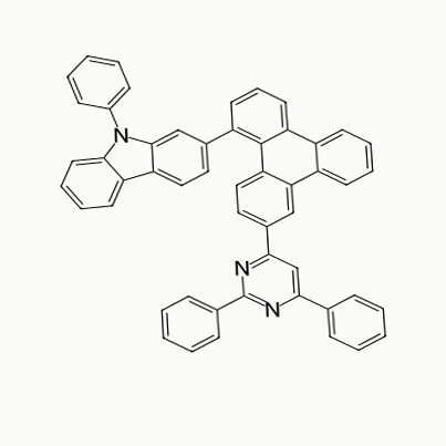 c1ccc(-c2cc(-c3ccc4c(c3)c3ccccc3c3cccc(-c5ccc6c7ccccc7n(-c7ccccc7)c6c5)c34)nc(-c3ccccc3)n2)cc1